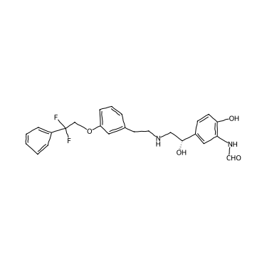 O=CNc1cc([C@H](O)CNCCc2cccc(OCC(F)(F)c3ccccc3)c2)ccc1O